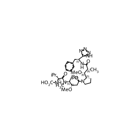 CC[C@H](C)[C@@H]([C@H](CC(=O)N1CCC[C@H]1[C@H](OC)[C@@H](C)C(=O)N[C@@H](Cc1ccccc1)c1nnn[nH]1)OC)N(C)C(=O)[C@@H](NC(=O)O)C(C)C